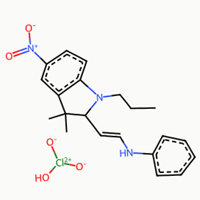 CCCN1c2ccc([N+](=O)[O-])cc2C(C)(C)C1C=CNc1ccccc1.[O-][Cl+2]([O-])O